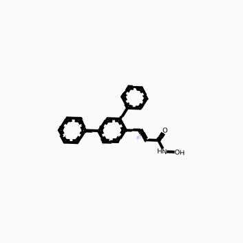 O=C(/C=C/c1ccc(-c2ccccc2)cc1-c1ccccc1)NO